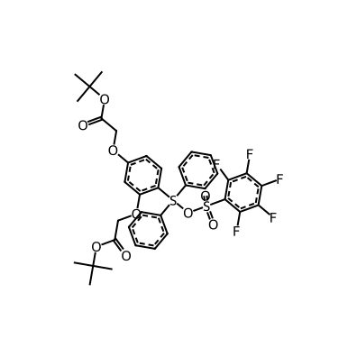 CC(C)(C)OC(=O)COc1ccc(S(OS(=O)(=O)c2c(F)c(F)c(F)c(F)c2F)(c2ccccc2)c2ccccc2)c(OCC(=O)OC(C)(C)C)c1